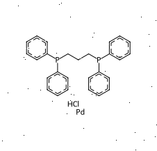 Cl.[Pd].c1ccc(P(CCCP(c2ccccc2)c2ccccc2)c2ccccc2)cc1